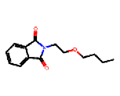 CCCCOCCN1C(=O)c2ccccc2C1=O